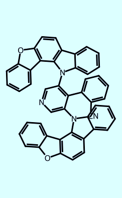 N#Cc1ccccc1-c1c(-n2c3ccccc3c3ccc4oc5ccccc5c4c32)cncc1-n1c2ccccc2c2ccc3oc4ccccc4c3c21